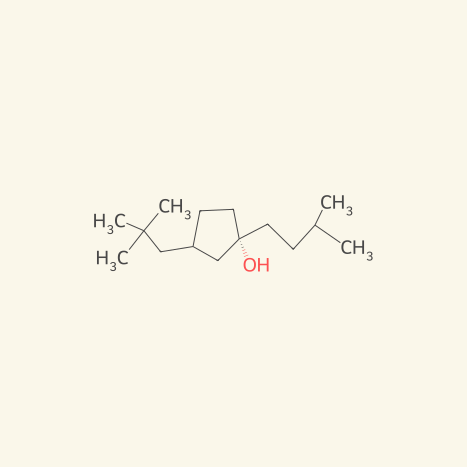 CC(C)CC[C@]1(O)CCC(CC(C)(C)C)C1